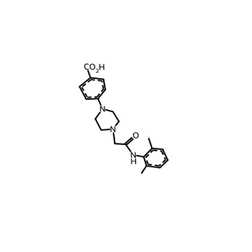 Cc1cccc(C)c1NC(=O)CN1CCN(c2ccc(C(=O)O)cc2)CC1